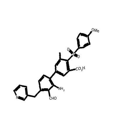 COc1ccc(S(=O)(=O)c2c(C)cc(-c3ccc(Cc4cccnc4)c(C=O)c3N)cc2C(=O)O)cc1